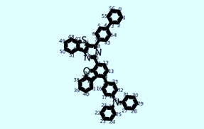 c1ccc(-c2ccc(-c3nc(-c4ccc(-c5ccc(N(c6ccccc6)c6ccccc6)cc5)c5c4oc4ccccc45)nc4c3sc3ccccc34)cc2)cc1